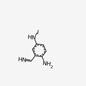 N=Cc1cc(NI)ccc1N